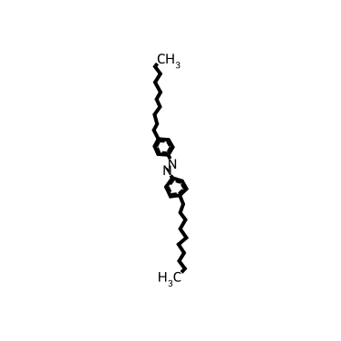 CCCCCCCCCCc1ccc(/N=N/c2ccc(CCCCCCCCCC)cc2)cc1